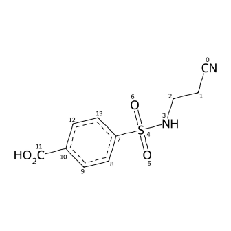 N#CCCNS(=O)(=O)c1ccc(C(=O)O)cc1